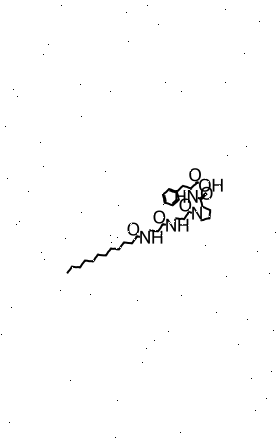 CCCCCCCCCCCC(=O)NCCC(=O)NCCC(=O)N1CCCC1C(=O)NC(Cc1ccccc1)C(=O)O